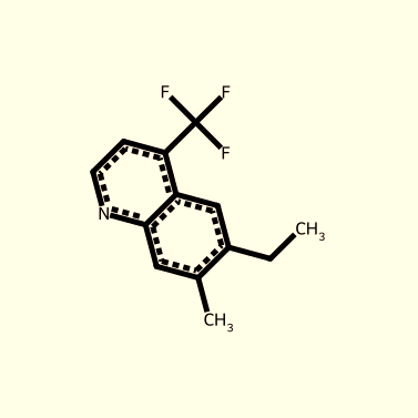 CCc1cc2c(C(F)(F)F)ccnc2cc1C